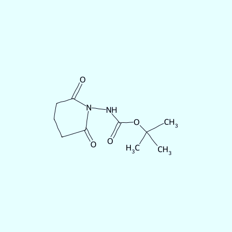 CC(C)(C)OC(=O)NN1C(=O)CCCC1=O